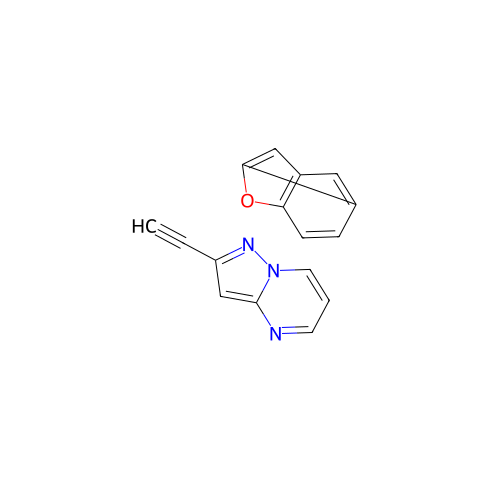 C#Cc1cc2ncccn2n1.c1cc2oc3cc2cc1-3